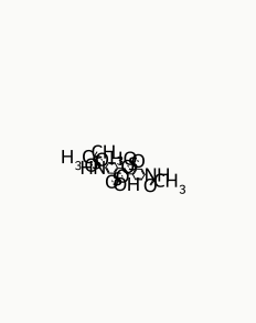 CC(=O)Nc1ccc(C=Cc2ccc(NS(=O)(=O)C(C)C)cc2S(=O)(=O)O)c(S(=O)(=O)O)c1